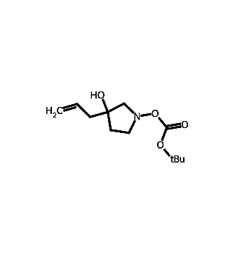 C=CCC1(O)CCN(OC(=O)OC(C)(C)C)C1